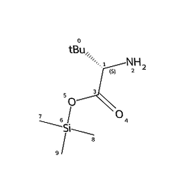 CC(C)(C)[C@H](N)C(=O)O[Si](C)(C)C